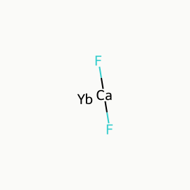 [F][Ca][F].[Yb]